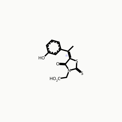 C/C(=C1\SC(=S)N(CC(=O)O)C1=O)c1cccc(O)c1